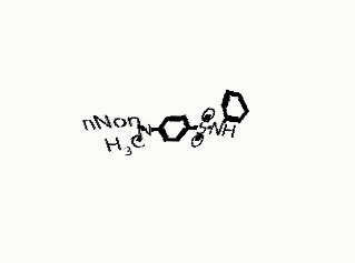 CCCCCCCCCN(C)c1ccc(S(=O)(=O)Nc2ccccc2)cc1